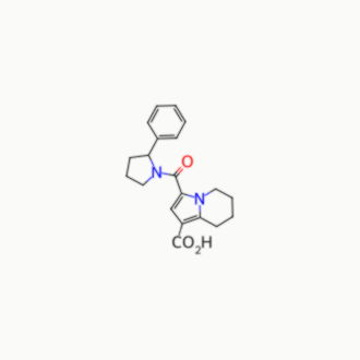 O=C(O)c1cc(C(=O)N2CCCC2c2ccccc2)n2c1CCCC2